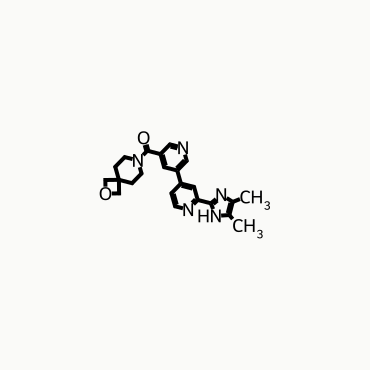 Cc1nc(-c2cc(-c3cncc(C(=O)N4CCC5(CC4)COC5)c3)ccn2)[nH]c1C